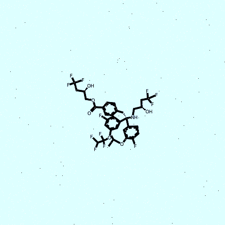 CC(C)Oc1cc([C@](Cc2ccc(C(=O)OC[C@H](O)CC(F)(F)F)cc2)(NC[C@H](O)CC(F)(F)F)c2cc(F)cc(OC(F)(F)C(F)F)c2)ccc1F